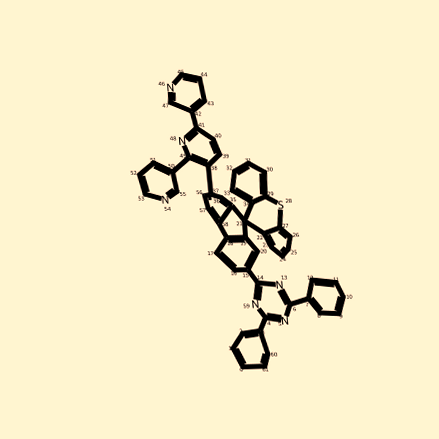 c1ccc(-c2nc(-c3ccccc3)nc(-c3ccc4c(c3)C3(c5ccccc5Sc5ccccc53)c3cc(-c5ccc(-c6cccnc6)nc5-c5cccnc5)ccc3-4)n2)cc1